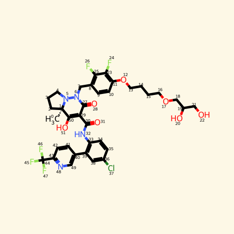 C[C@]12CCCN1N(Cc1ccc(OCCCCOCC(O)CO)c(F)c1F)C(=O)C(C(=O)Nc1ccc(Cl)cc1-c1ccc(C(F)(F)F)nc1)=C2O